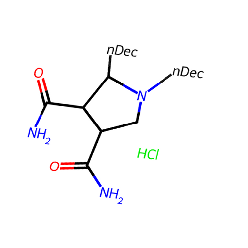 CCCCCCCCCCC1C(C(N)=O)C(C(N)=O)CN1CCCCCCCCCC.Cl